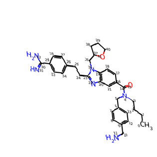 CCCCN(Cc1ccc(CN)cc1)C(=O)c1ccc2c(c1)nc(CCc1ccc(C(=N)N)cc1)n2CC1CCCO1